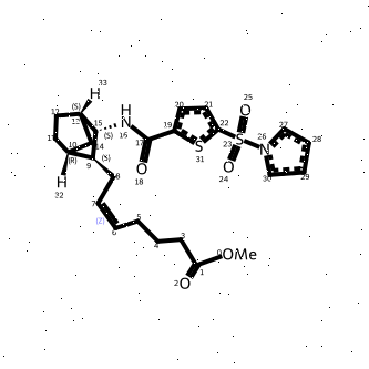 COC(=O)CCC/C=C\C[C@H]1[C@@H]2CC[C@@H](C2)[C@@H]1NC(=O)c1ccc(S(=O)(=O)n2cccc2)s1